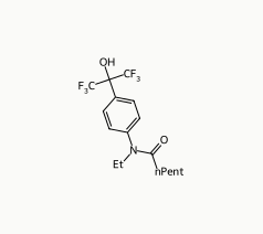 CCCCCC(=O)N(CC)c1ccc(C(O)(C(F)(F)F)C(F)(F)F)cc1